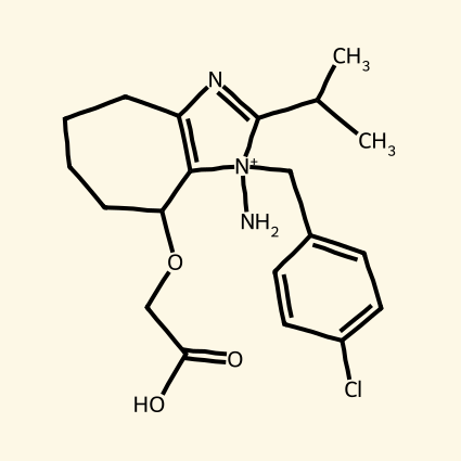 CC(C)C1=NC2=C(C(OCC(=O)O)CCCC2)[N+]1(N)Cc1ccc(Cl)cc1